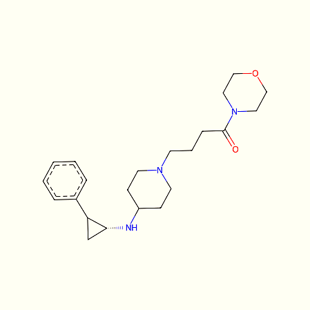 O=C(CCCN1CCC(N[C@@H]2CC2c2ccccc2)CC1)N1CCOCC1